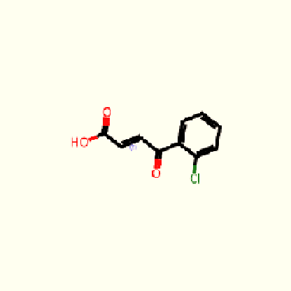 O=C(O)/C=C/C(=O)c1ccccc1Cl